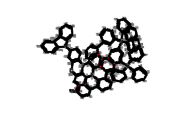 CC(C)(C)c1cc2c3c(c1)N(c1c(-c4ccccc4)cccc1-c1ccccc1)c1cc(-c4cc([Si](c5ccccc5)(c5ccccc5)c5cccc(-c6ccccc6)c5)cc([Si](c5ccccc5)(c5ccccc5)c5cccc(-c6ccccc6)c5)c4)ccc1B3c1ccc(-n3c4ccccc4c4ccccc43)cc1O2